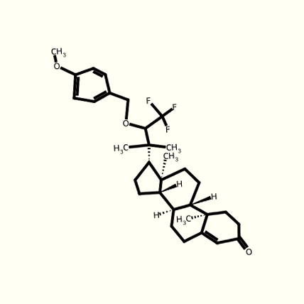 COc1ccc(COC(C(F)(F)F)C(C)(C)[C@H]2CC[C@H]3[C@@H]4CCC5=CC(=O)CC[C@]5(C)[C@H]4CC[C@]23C)cc1